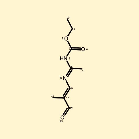 CCOC(=O)N/C(C)=N/C=C(\C)C=O